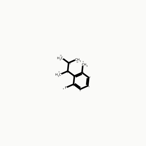 Cc1cccc(F)c1C(C)C(C)C